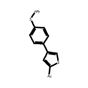 CCCSc1ccc(-c2csc(C(C)=O)c2)cc1